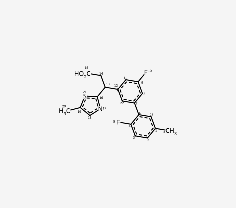 Cc1ccc(F)c(-c2cc(F)cc(C(CC(=O)O)c3ncc(C)s3)c2)c1